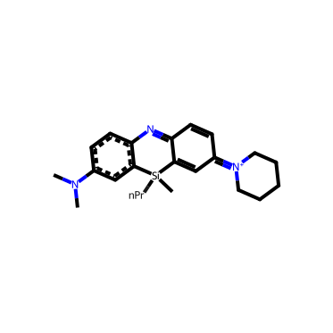 CCC[Si]1(C)C2=CC(=[N+]3CCCCC3)C=CC2=Nc2ccc(N(C)C)cc21